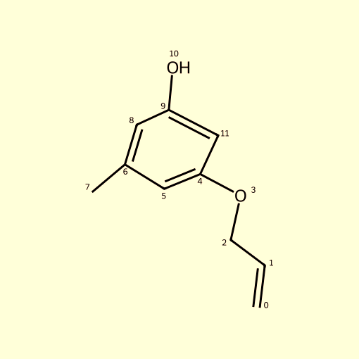 C=CCOc1cc(C)cc(O)c1